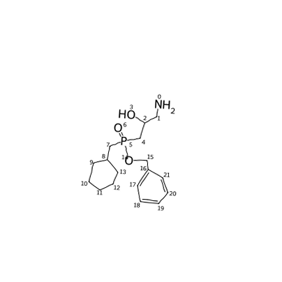 NCC(O)CP(=O)(CC1CCCCC1)OCc1ccccc1